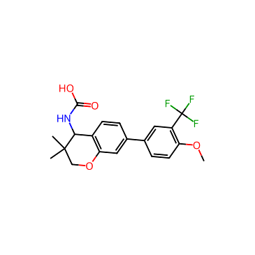 COc1ccc(-c2ccc3c(c2)OCC(C)(C)C3NC(=O)O)cc1C(F)(F)F